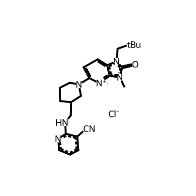 Cn1c2c(n(CC(C)(C)C)c1=O)=CC=C(N1CCCC(CNc3ncccc3C#N)C1)[N+]=2.[Cl-]